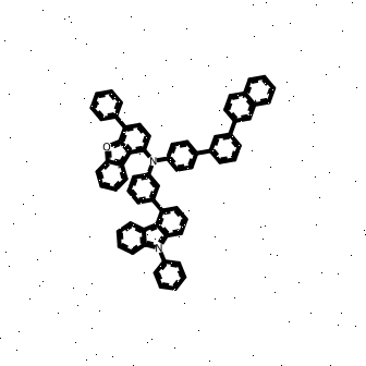 c1ccc(-c2ccc(N(c3ccc(-c4cccc(-c5ccc6ccccc6c5)c4)cc3)c3cccc(-c4cccc5c4c4ccccc4n5-c4ccccc4)c3)c3c2oc2ccccc23)cc1